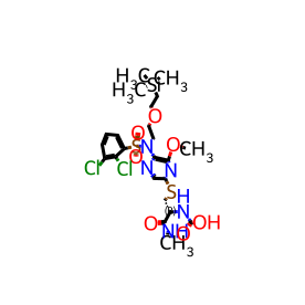 CNC(=O)[C@H](CSc1cnc(N(CCOCC[Si](C)(C)C)S(=O)(=O)c2cccc(Cl)c2Cl)c(OC)n1)NC(=O)O